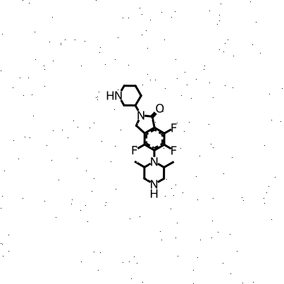 CC1CNCC(C)N1c1c(F)c(F)c2c(c1F)CN(C1CCCNC1)C2=O